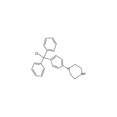 ClC(c1ccccc1)(c1ccccc1)c1ccc(N2CCNCC2)cc1